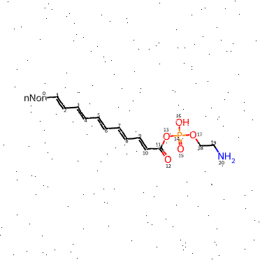 CCCCCCCCCC=CC=CC=CC=CC=CC(=O)OP(=O)(O)OCCN